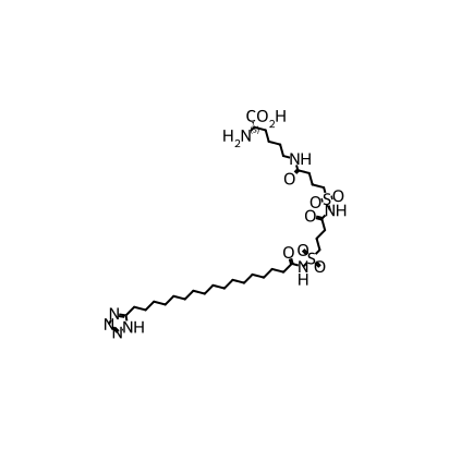 N[C@@H](CCCCNC(=O)CCCS(=O)(=O)NC(=O)CCCS(=O)(=O)NC(=O)CCCCCCCCCCCCCCCCc1nnn[nH]1)C(=O)O